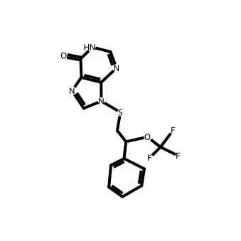 O=c1[nH]cnc2c1ncn2SCC(OC(F)(F)F)c1ccccc1